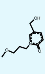 COCCCn1cc(CO)ccc1=O